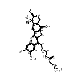 CC[C@@]1(O)C(=O)OCc2c1cc1n(c2=O)Cc2c-1nc1cc(F)c(N)cc1c2COCNC(=O)CNC(=O)O